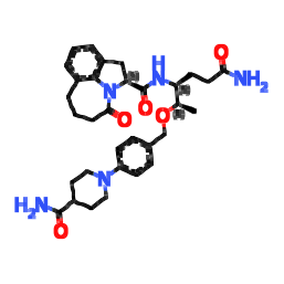 C[C@@H](OCc1ccc(N2CCC(C(N)=O)CC2)cc1)[C@H](CCC(N)=O)NC(=O)[C@@H]1Cc2cccc3c2N1C(=O)CCC3